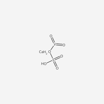 [CaH2].[O]=[V](=[O])[O]S(=O)(=O)O